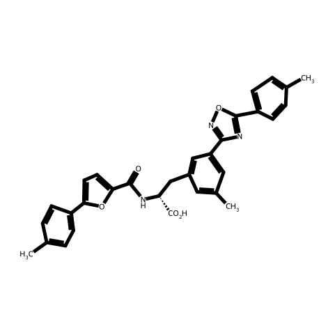 Cc1ccc(-c2ccc(C(=O)N[C@H](Cc3cc(C)cc(-c4noc(-c5ccc(C)cc5)n4)c3)C(=O)O)o2)cc1